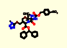 Cn1nnnc1SCC1=C(C(=O)OC(c2ccccc2)c2ccccc2)N2C(=O)[C@@](NC=O)(NC(=O)OCc3ccc([N+](=O)[O-])cc3)[C@H]2SC1